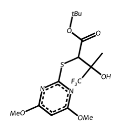 COc1cc(OC)nc(SC(C(=O)OC(C)(C)C)C(C)(O)C(F)(F)F)n1